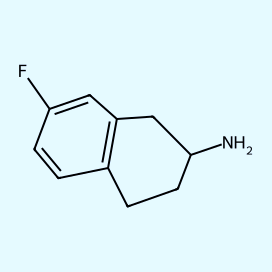 NC1CCc2ccc(F)cc2C1